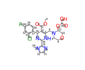 COC(=O)C1=C(CN2CCOC[C@@H]2OC(=O)O)NC(c2nccn2C)=NC1c1ccc(F)cc1Cl